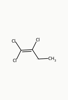 C[CH]C(Cl)=C(Cl)Cl